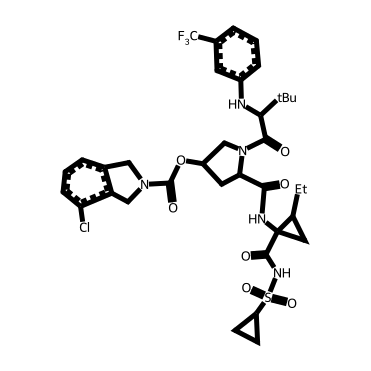 CCC1CC1(NC(=O)C1CC(OC(=O)N2Cc3cccc(Cl)c3C2)CN1C(=O)C(Nc1cccc(C(F)(F)F)c1)C(C)(C)C)C(=O)NS(=O)(=O)C1CC1